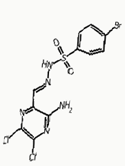 Nc1nc(Cl)c(Cl)nc1C=NNS(=O)(=O)c1ccc(Br)cc1